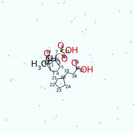 CC1(C)C2CCC1(CS(=O)(=O)O)C(=O)C2.O=C(O)CCC1CCCC1